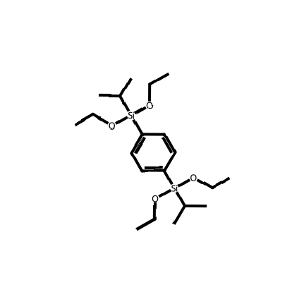 CCO[Si](OCC)(c1ccc([Si](OCC)(OCC)C(C)C)cc1)C(C)C